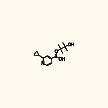 CC(C)(O)C(C)(C)OB(O)c1ccnc(C2CC2)c1